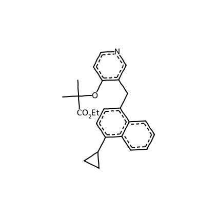 CCOC(=O)C(C)(C)Oc1ccncc1Cc1ccc(C2CC2)c2ccccc12